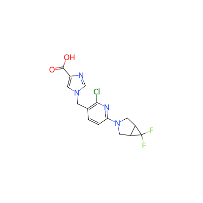 O=C(O)c1cn(Cc2ccc(N3CC4C(C3)C4(F)F)nc2Cl)cn1